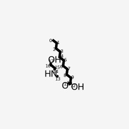 CCCCCCCCCCC(=O)O.CNCCO